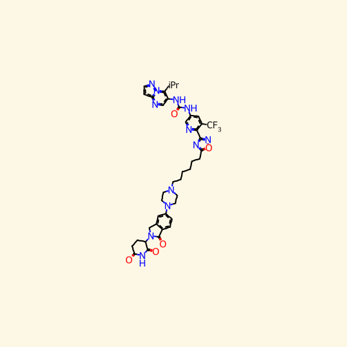 CC(C)c1c(NC(=O)Nc2cnc(-c3noc(CCCCCCN4CCN(c5ccc6c(c5)CN(C5CCC(=O)NC5=O)C6=O)CC4)n3)c(C(F)(F)F)c2)cnc2ccnn12